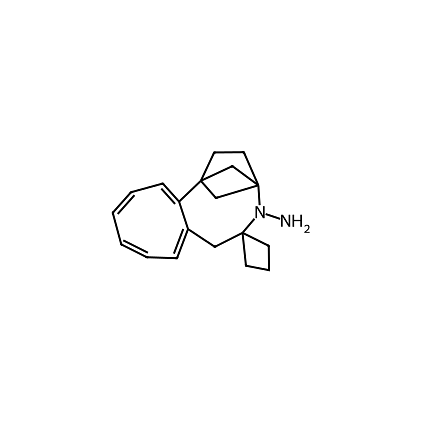 NN1C2(CCC2)CC2=C/C=C\C=C/C=C\2C23CCC1(C2)C3